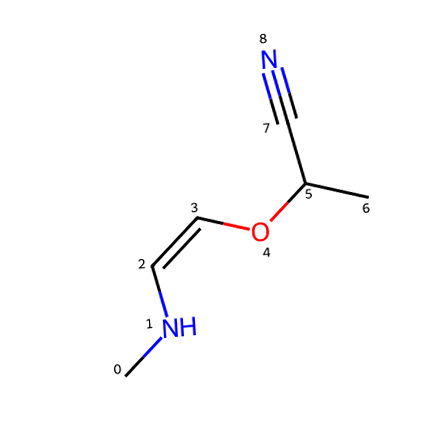 CN/C=C\OC(C)C#N